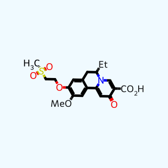 CCC1Cc2cc(OCCS(C)(=O)=O)c(OC)cc2-c2cc(=O)c(C(=O)O)cn21